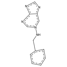 c1ccc(CNn2cnc3ncnc-3c2)cc1